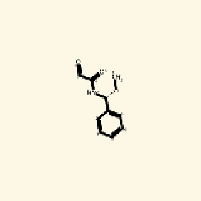 CC[C@@H](NC(=O)C=O)c1ccccc1